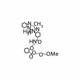 COCCOCCOC(=O)c1ccccc1OCCNC(=O)c1ccc2nc(C(C)c3nc4ccccc4[nH]3)n(C)c2c1